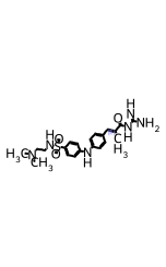 C/C(=C\c1ccc(Nc2ccc(S(=O)(=O)NCCN(C)C)cc2)cc1)C(=O)NC(=N)N